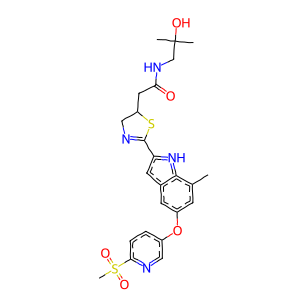 Cc1cc(Oc2ccc(S(C)(=O)=O)nc2)cc2cc(C3=NCC(CC(=O)NCC(C)(C)O)S3)[nH]c12